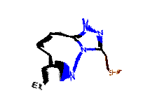 CCc1ccc2nnc(S)n2n1